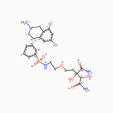 CN1Cc2c(Cl)cc(Cl)cc2[C@H](c2cccc(S(=O)(=O)NCCOCCC(O)(C(N)=O)C(O)C(N)=O)c2)C1